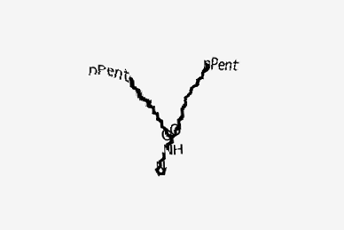 CCCCCC=CCC=CCCCCCCCCOCC(CCNCCCN1CCCC1)OCCCCCCCCC=CCC=CCCCCC